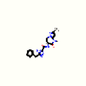 CN1C(=O)[C@@H](NC(=O)c2nnc(Cc3ccccc3)[nH]2)CCn2nc(C(F)(F)F)cc21